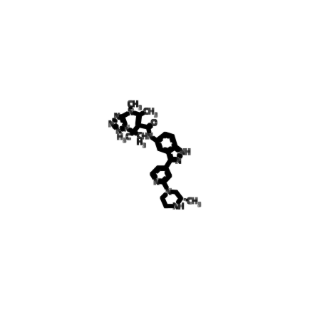 CC1=C(C(=O)Nc2ccc3[nH]nc(-c4ccnc(N5CCN[C@@H](C)C5)c4)c3c2)C(C)(C)n2nnnc2N1C